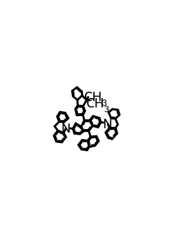 CC1(C)c2cc(-c3c4cc(N5c6ccccc6Cc6ccccc65)ccc4c(-c4cccc5ccccc45)c4cc(N5C6=C(C=CCC6)Cc6ccccc65)ccc34)ccc2C2C=CC=CC21